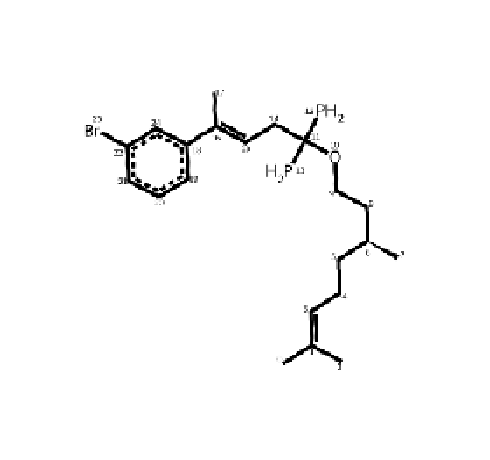 CC(C)=CCC[C@H](C)CCOC(P)(P)C/C=C(\C)c1cccc(Br)c1